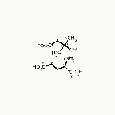 C[N+](C)(C)CC(=O)[O-].N[C@@H](CCC(=O)O)C(=O)O